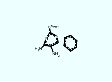 CCCCCc1ncc(N)c(N)n1.c1ccccc1